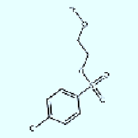 CCOCCOS(=O)(=O)c1ccc(Cl)cc1